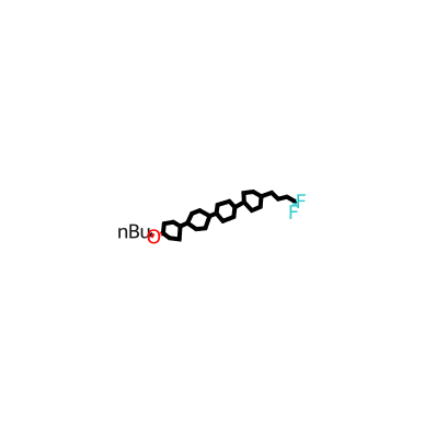 CCCCOC1CCC(C2CCC(C3CCC(C4CCC(CCCC(F)F)CC4)CC3)CC2)CC1